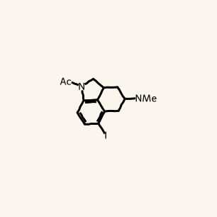 CNC1Cc2c(I)ccc3c2C(C1)CN3C(C)=O